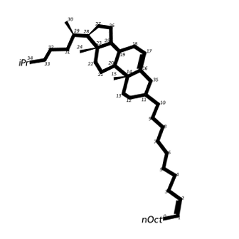 [CH2]CCCCCCC/C=C\CCCCCCCCC1CC[C@@]2(C)C(=CCC3C2CC[C@@]2(C)C3CC[C@@H]2[C@H](C)CCCC(C)C)C1